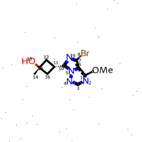 COc1ncnn2c1c(Br)nc2[C@H]1C[C@@](C)(O)C1